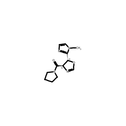 Cn1ccnc1[C@@H]1OC=N[C@H]1C(=O)N1CCCC1